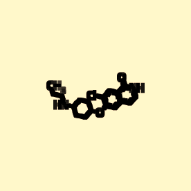 CCCN[C@H]1CC[C@@H](Oc2cc3cc[nH]c(=O)c3cc2Cl)CC1